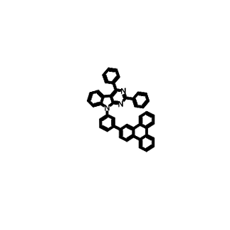 c1ccc(-c2nc(-c3ccccc3)c3c4ccccc4n(-c4cccc(-c5ccc6c7ccccc7c7ccccc7c6c5)c4)c3n2)cc1